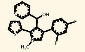 Cn1cc(-c2ccc(F)cc2F)c(C(O)c2cccnc2)c1-c1cccs1